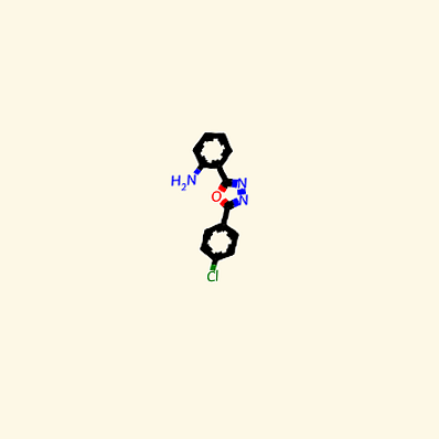 Nc1ccccc1-c1nnc(-c2ccc(Cl)cc2)o1